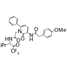 COc1ccc(CC(=O)Nc2ccc(-c3ccccc3)n(CC(=O)NC(C(=O)C(F)(F)F)C(C)C)c2=O)cc1